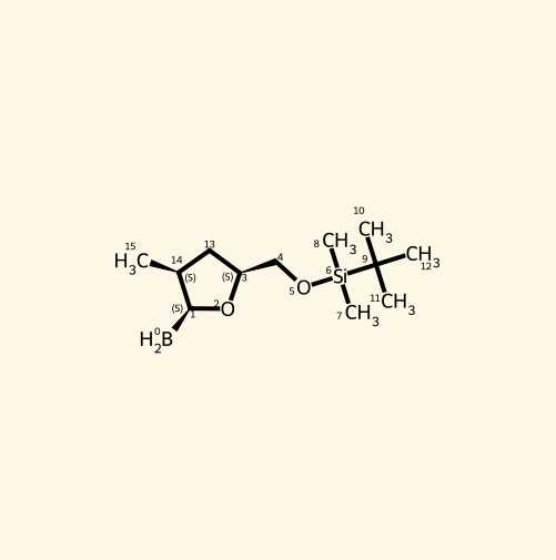 B[C@@H]1O[C@H](CO[Si](C)(C)C(C)(C)C)C[C@@H]1C